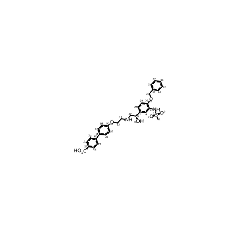 CS(=O)(=O)Nc1cc([C@@H](O)CNCCOc2ccc(-c3ccc(C(=O)O)cc3)cc2)ccc1OCc1ccccc1